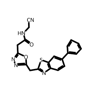 N#CCNC(=O)Cc1nnc(Cc2nc3ccc(-c4ccccc4)cc3s2)o1